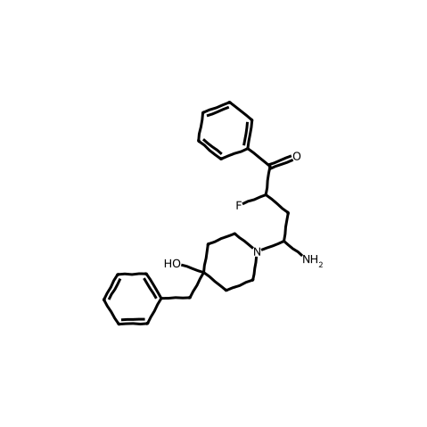 NC(CC(F)C(=O)c1ccccc1)N1CCC(O)(Cc2ccccc2)CC1